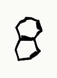 [CH]1CC=CC2=C1CCC=C2